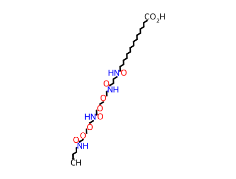 C#CCCCNC(=O)COCCOCCNC(=O)COCCOCCNC(=O)CCCNC(=O)CCCCCCCCCCCCCCCCC(=O)O